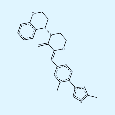 Cc1cn(-c2ccc(/C=C3\OCCN([C@H]4CCOc5ccccc54)C3=O)cc2C)cn1